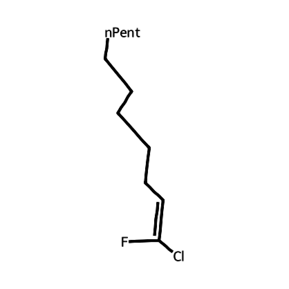 CCCCCCCCCC/C=C(\F)Cl